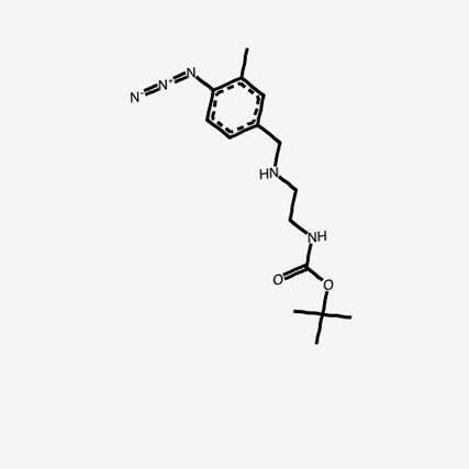 Cc1cc(CNCCNC(=O)OC(C)(C)C)ccc1N=[N+]=[N-]